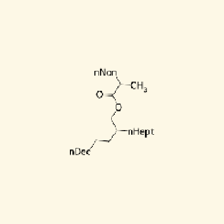 CCCCCCCCCCCCC(CCCCCCC)COC(=O)C(C)CCCCCCCCC